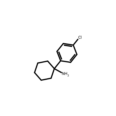 NC1(c2ccc(Cl)cc2)CCCCC1